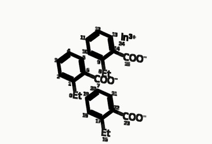 CCc1ccccc1C(=O)[O-].CCc1ccccc1C(=O)[O-].CCc1ccccc1C(=O)[O-].[In+3]